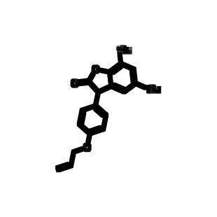 C=CCOc1ccc(C2C(=O)Oc3c2cc(C(C)(C)C)cc3C(C)(C)C)cc1